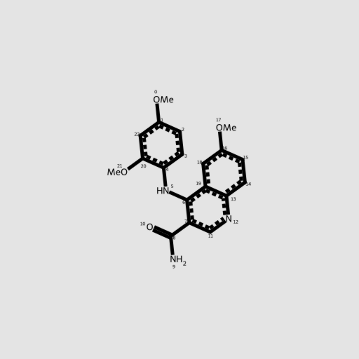 COc1ccc(Nc2c(C(N)=O)cnc3ccc(OC)cc23)c(OC)c1